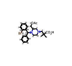 CC(=O)OCC1CN(CC(C)(C)C(=O)O)CCN1C(c1ccccc1)c1ccccc1Br